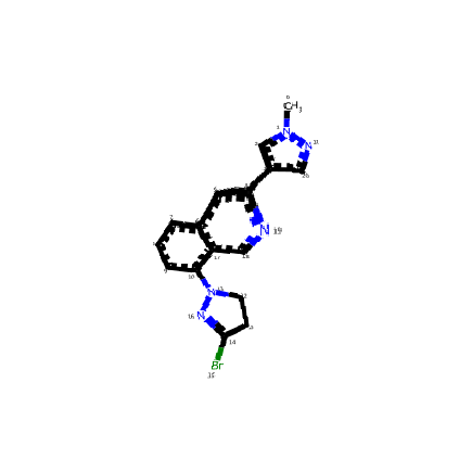 Cn1cc(-c2cc3cccc(N4CCC(Br)=N4)c3cn2)cn1